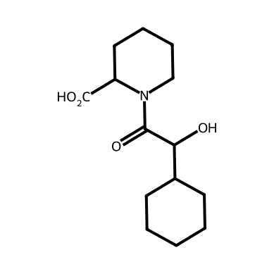 O=C(O)C1CCCCN1C(=O)C(O)C1CCCCC1